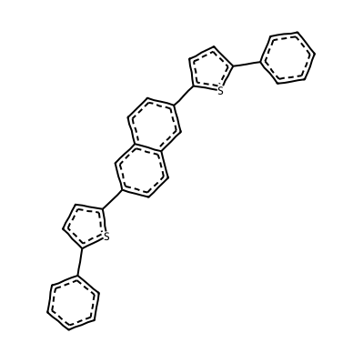 c1ccc(-c2ccc(-c3ccc4cc(-c5ccc(-c6ccccc6)s5)ccc4c3)s2)cc1